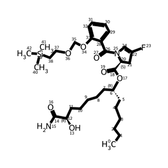 CCCCCC[C@H](CCCCC[C@@H](O)C(N)=O)OC(=O)[C@@H]1CC(F)=CN1C(=O)c1ccccc1OCOCC[Si](C)(C)C